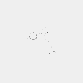 Cc1nnn(-c2ccc(F)cc2)c1CCC1CC(O)CC(=O)O1